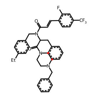 CCc1ccc(CN(C(=O)C=Cc2ccc(C(F)(F)F)cc2F)C(Cc2ccccc2)C(=O)N2CCN(Cc3ccccc3)CC2)cc1